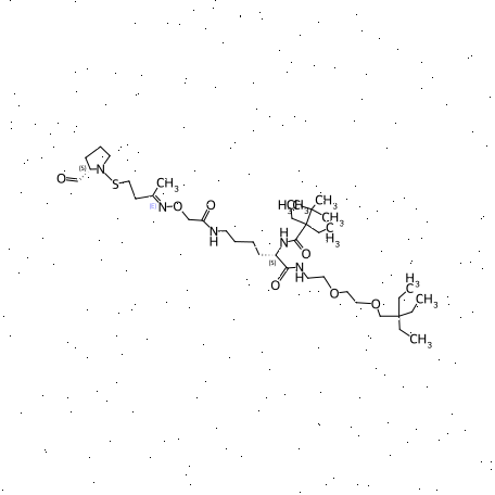 CCC(CC)(CC)COCCOCCNC(=O)[C@H](CCCCNC(=O)CO/N=C(\C)CCSN1CCC[C@H]1C=O)NC(=O)C(CC)(CC)C(C)(C)C